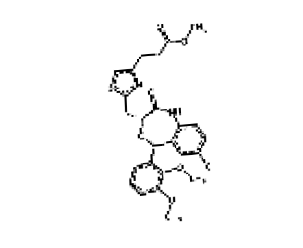 COC(=O)CCc1csc(C[C@H]2O[C@H](c3cccc(OC)c3OC)c3cc(Cl)ccc3NC2=O)n1